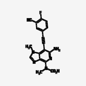 CN(C(=O)O)c1nc(N)c(C#Cc2ccc(F)c(C#N)c2)c2c1ncn2C